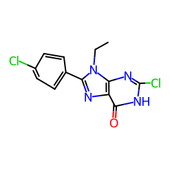 CCn1c(-c2ccc(Cl)cc2)nc2c(=O)[nH]c(Cl)nc21